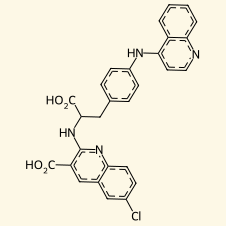 O=C(O)c1cc2cc(Cl)ccc2nc1NC(Cc1ccc(Nc2ccnc3ccccc23)cc1)C(=O)O